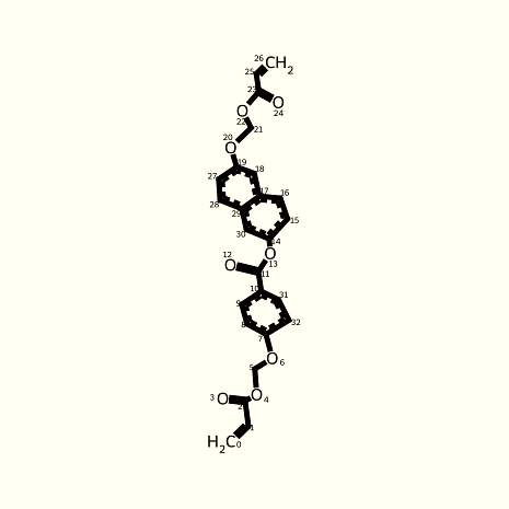 C=CC(=O)OCOc1ccc(C(=O)Oc2ccc3cc(OCOC(=O)C=C)ccc3c2)cc1